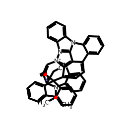 CC(C)N1/C2=C\CCN(c3ccccc31)[N+]13c4c2cccc4C2(c4ccccc4-c4ccccc42)c2ccc4c5ccccc5n5c6ccccc6[n+]1c5c4c23